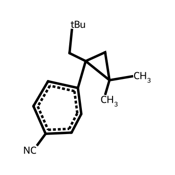 CC(C)(C)CC1(c2ccc(C#N)cc2)CC1(C)C